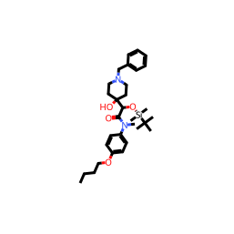 CCCCOc1ccc(N(C)C(=O)C(O[Si](C)(C)C(C)(C)C)C2(O)CCN(Cc3ccccc3)CC2)cc1